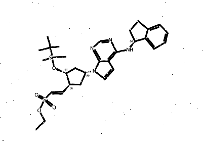 CCOS(=O)(=O)C=C[C@@H]1C[C@@H](n2ccc3c(N[C@H]4CCc5ccccc54)ncnc32)C[C@@H]1O[Si](C)(C)C(C)(C)C